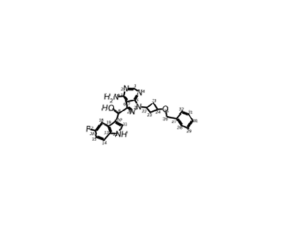 Nc1ncnc2c1c(C(O)c1c[nH]c3ccc(F)cc13)nn2C1CC(OCc2ccccc2)C1